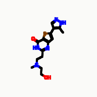 Cc1[nH]ncc1-c1cc2nc(CCN(C)CCO)[nH]c(=O)c2s1